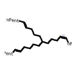 CCCCCC=CCCCCC(CCCC=CCCCCC)CCC/C=C\CCCCC